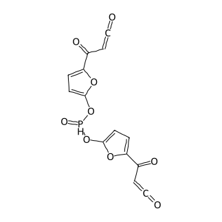 O=C=CC(=O)c1ccc(O[PH](=O)Oc2ccc(C(=O)C=C=O)o2)o1